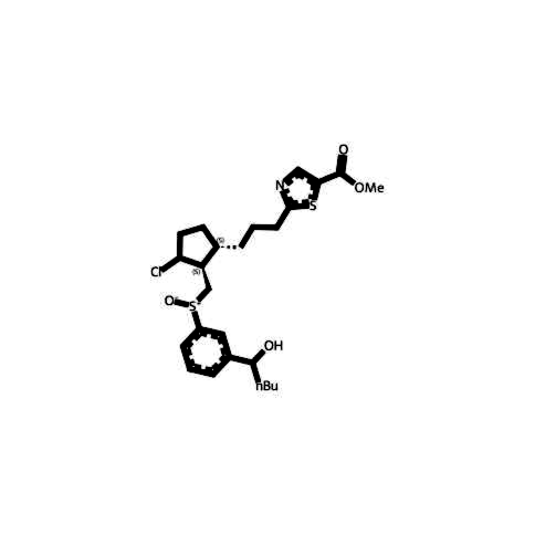 CCCCC(O)c1cccc([S+]([O-])C[C@H]2C(Cl)CC[C@@H]2CCCc2ncc(C(=O)OC)s2)c1